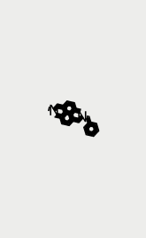 CN1C=c2ccc3c4c(ccc(c24)=C1)=CN(Cc1ccccc1)C=3